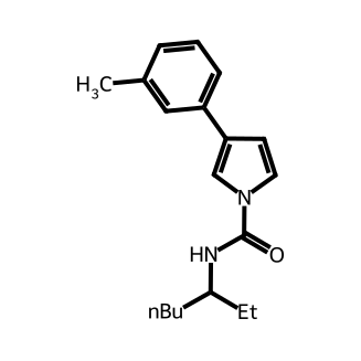 CCCCC(CC)NC(=O)n1ccc(-c2cccc(C)c2)c1